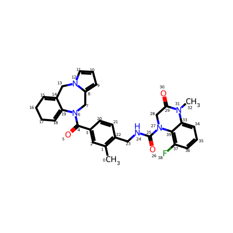 Cc1cc(C(=O)N2Cc3cccn3CC3=CCCC=C32)ccc1CNC(=O)N1CC(=O)N(C)c2cccc(F)c21